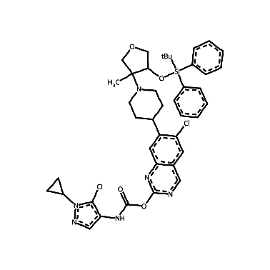 CC1(N2CCC(c3cc4nc(OC(=O)Nc5cnn(C6CC6)c5Cl)ncc4cc3Cl)CC2)COCC1O[Si](c1ccccc1)(c1ccccc1)C(C)(C)C